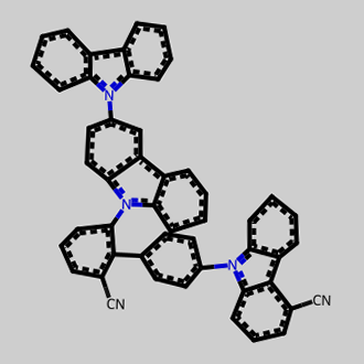 N#Cc1cccc(-n2c3ccccc3c3cc(-n4c5ccccc5c5ccccc54)ccc32)c1-c1ccc(-n2c3ccccc3c3c(C#N)cccc32)cc1